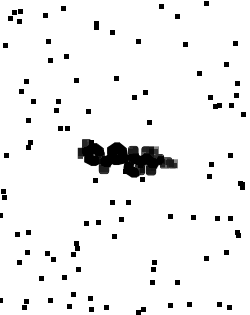 CC(C)(C)OC(=O)[C@H](O)[C@H]1OCCN(c2cccc(C(=O)N3CCC(F)(F)CC3)c2)C1=O